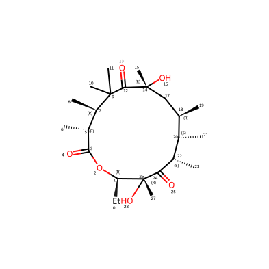 CC[C@H]1OC(=O)[C@H](C)[C@@H](C)C(C)(C)C(=O)[C@](C)(O)C[C@@H](C)[C@H](C)[C@H](C)C(=O)[C@]1(C)O